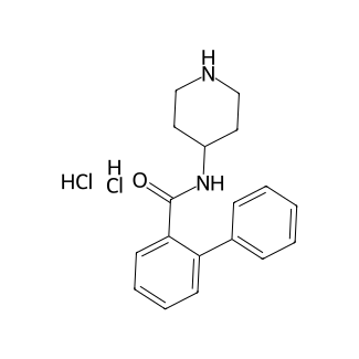 Cl.Cl.O=C(NC1CCNCC1)c1ccccc1-c1ccccc1